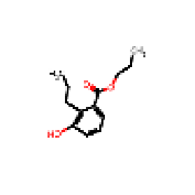 CCCOC(=O)c1cccc(O)c1CCC